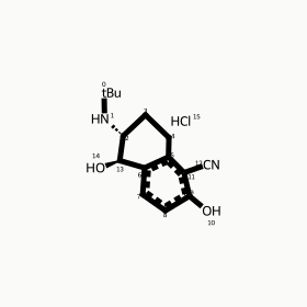 CC(C)(C)N[C@@H]1CCc2c(ccc(O)c2C#N)[C@H]1O.Cl